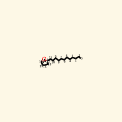 CCCCCCCCCCC[CH2][Al]1[CH2]CCC[O]1